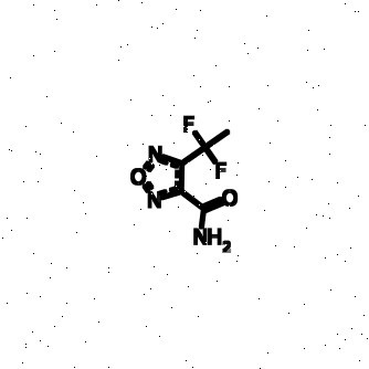 CC(F)(F)c1nonc1C(N)=O